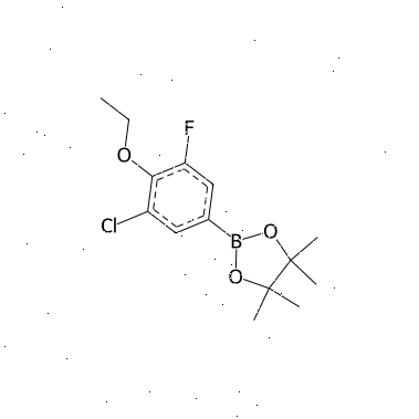 CCOc1c(F)cc(B2OC(C)(C)C(C)(C)O2)cc1Cl